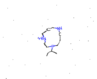 CC(C)N1CCCNCCCNCC1